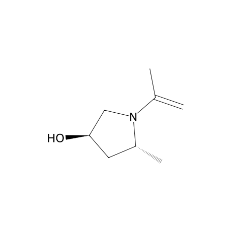 C=C(C)N1C[C@H](O)C[C@H]1C